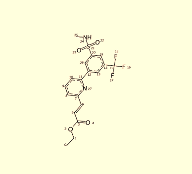 CCOC(=O)C=Cc1cccc(-c2cc(C(F)(F)F)cc(S(=O)(=O)NC)c2)n1